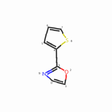 [c]1coc(-c2cccs2)n1